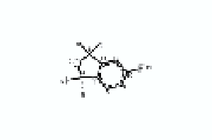 CC1(C)O[C@](C)(I)c2ccc(F)cc21